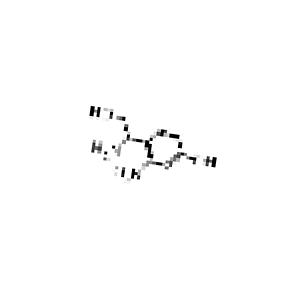 NC(CO)c1ccc(O)cc1[N+](=O)[O-]